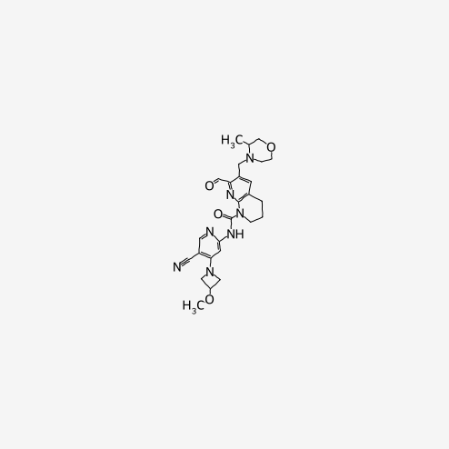 COC1CN(c2cc(NC(=O)N3CCCc4cc(CN5CCOCC5C)c(C=O)nc43)ncc2C#N)C1